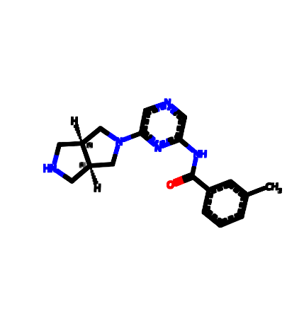 Cc1cccc(C(=O)Nc2cncc(N3C[C@H]4CNC[C@H]4C3)n2)c1